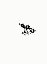 C[C@@H]1CN(CCC2CCCc3c2cnn3-c2ccc(F)cc2)C[C@H](C)O1.O=C(O)C(=O)O